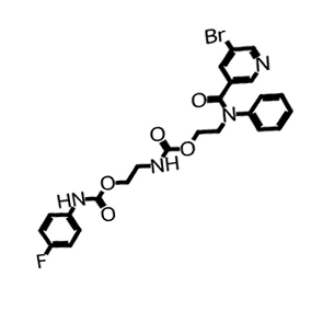 O=C(NCCOC(=O)Nc1ccc(F)cc1)OCCN(C(=O)c1cncc(Br)c1)c1ccccc1